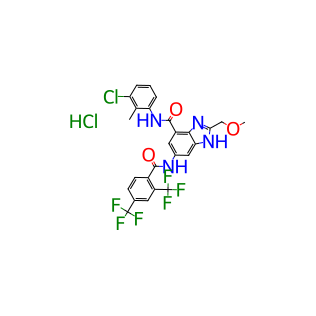 COCc1nc2c(C(=O)Nc3cccc(Cl)c3C)cc(NC(=O)c3ccc(C(F)(F)F)cc3C(F)(F)F)cc2[nH]1.Cl